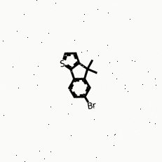 CC1(C)c2cc(Br)ccc2-c2sccc21